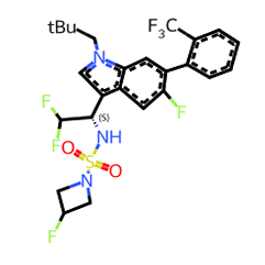 CC(C)(C)Cn1cc([C@H](NS(=O)(=O)N2CC(F)C2)C(F)F)c2cc(F)c(-c3ccccc3C(F)(F)F)cc21